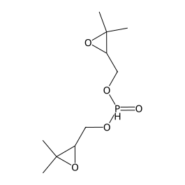 CC1(C)OC1CO[PH](=O)OCC1OC1(C)C